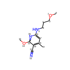 COCCCNc1cc(C)c(C#N)c(OC)n1